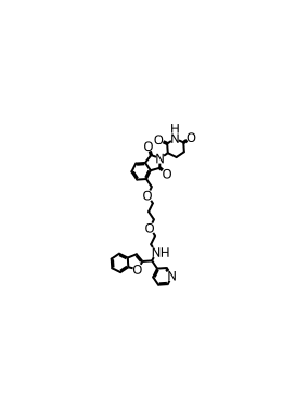 O=C1CCC(N2C(=O)c3cccc(COCCCOCCNC(c4cccnc4)c4cc5ccccc5o4)c3C2=O)C(=O)N1